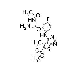 COC(=O)c1sc2ncnc(Nc3ccc(F)cc3OC(CN)CNC(C)=O)c2c1C